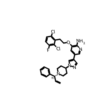 C=C[C@H](c1ccccc1)N1CCC(n2cc(-c3cnc(N)c(OCCc4c(Cl)ccc(F)c4Cl)c3)cn2)CC1